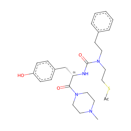 CC(=O)SCCN(CCc1ccccc1)C(=O)N[C@@H](Cc1ccc(O)cc1)C(=O)N1CCN(C)CC1